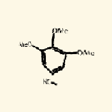 CC#N.COc1cccc(OC)c1OC